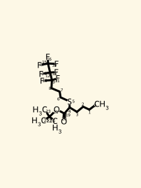 CCCCC(SCCCC(F)(F)C(F)(F)C(F)(F)F)C(=O)OC(C)(C)C